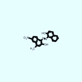 Cc1cc(O)c(/N=N/c2c(O)ccc3ccccc23)c2ccc([N+](=O)[O-])cc12